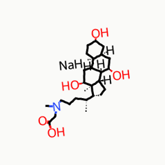 C[C@H](CCCN(C)CC(=O)O)[C@H]1CC[C@H]2[C@@H]3[C@H](O)C[C@@H]4C[C@H](O)CC[C@]4(C)[C@H]3C[C@H](O)[C@]12C.[NaH]